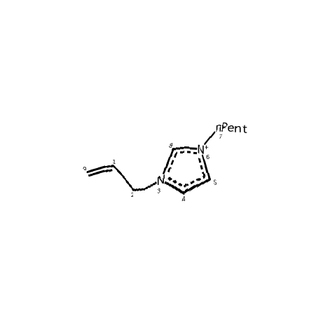 C=CCn1cc[n+](CCCCC)c1